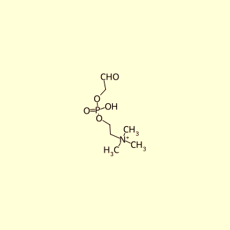 C[N+](C)(C)CCOP(=O)(O)OCC=O